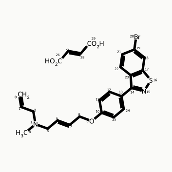 C=CCN(C)C/C=C/COc1ccc(-c2nsc3cc(Br)ccc23)cc1.O=C(O)/C=C/C(=O)O